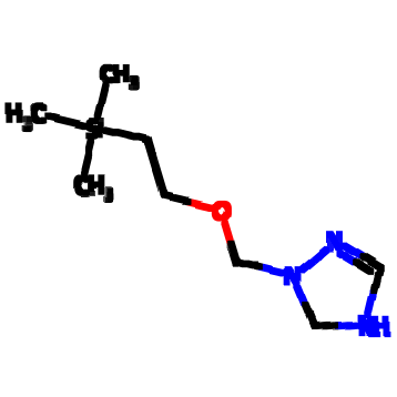 C[Si](C)(C)CCOCN1CNC=N1